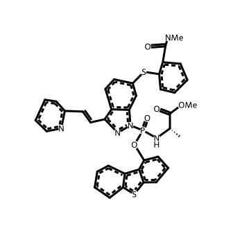 CNC(=O)c1ccccc1Sc1ccc2c(/C=C/c3ccccn3)nn(P(=O)(N[C@@H](C)C(=O)OC)Oc3cccc4sc5ccccc5c34)c2c1